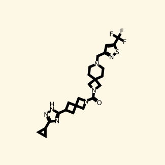 O=C(N1CC2(CCN(Cc3cc(C(F)(F)F)sn3)CC2)C1)N1CC2(CC(c3nc(C4CC4)n[nH]3)C2)C1